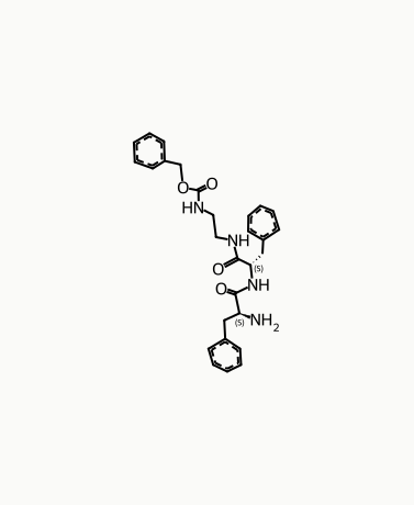 N[C@@H](Cc1ccccc1)C(=O)N[C@@H](Cc1ccccc1)C(=O)NCCNC(=O)OCc1ccccc1